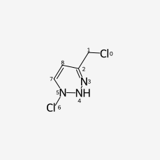 ClCC1=NNN(Cl)C=C1